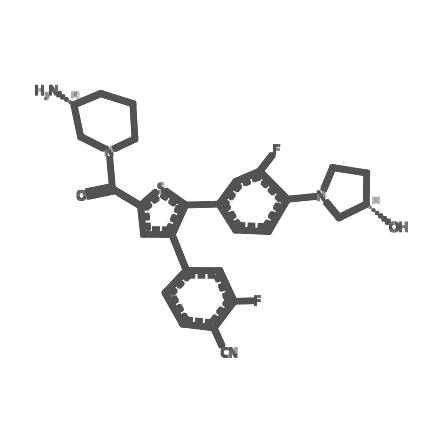 N#Cc1ccc(-c2cc(C(=O)N3CCC[C@@H](N)C3)sc2-c2ccc(N3CC[C@H](O)C3)c(F)c2)cc1F